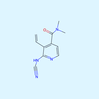 C=Cc1c(C(=O)N(C)C)ccnc1NC#N